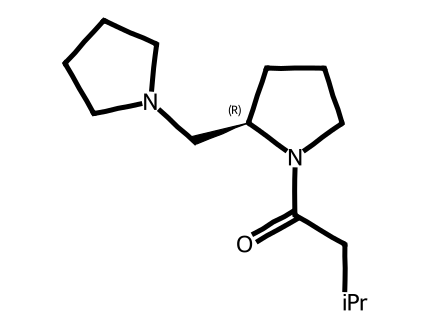 CC(C)CC(=O)N1CCC[C@@H]1CN1CCCC1